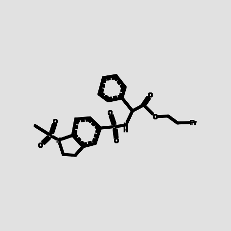 CC(C)CCOC(=O)C(NS(=O)(=O)c1ccc2c(c1)CCN2S(C)(=O)=O)c1ccccc1